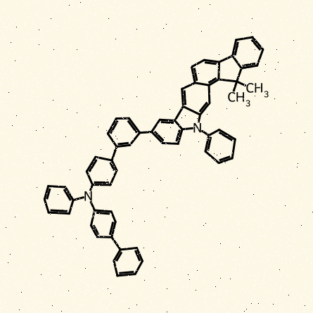 CC1(C)c2ccccc2-c2ccc3cc4c5cc(-c6cccc(-c7ccc(N(c8ccccc8)c8ccc(-c9ccccc9)cc8)cc7)c6)ccc5n(-c5ccccc5)c4cc3c21